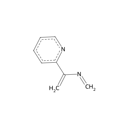 C=NC(=C)c1ccccn1